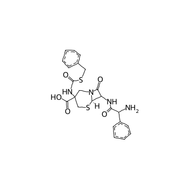 NC(C(=O)NC1C(=O)N2CC(NC(=O)SCc3ccccc3)(C(=O)O)CS[C@H]12)c1ccccc1